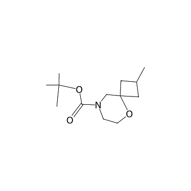 CC1CC2(C1)CN(C(=O)OC(C)(C)C)CCO2